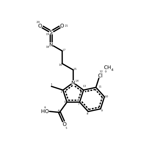 C.Cc1c(C(=O)O)c2cccc(Cl)c2n1CCCN=S(=O)=O